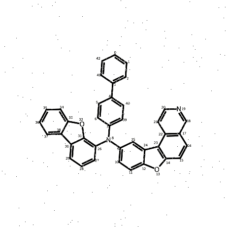 c1ccc(-c2ccc(N(c3ccc4oc5ccc6cnccc6c5c4c3)c3cccc4c3oc3ccccc34)cc2)cc1